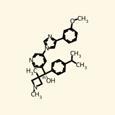 COc1cccc(-c2cn(-c3cncc([C@@](O)(c4ccc(C(C)C)cc4)C4(C)CN(C)C4)c3)cn2)c1